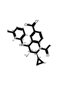 CC(=O)N1c2ccc(C(=O)Cl)cc2C(Nc2cccc(C)n2)[C@@H](C)[C@@H]1C1CC1